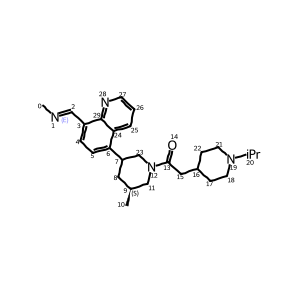 C/N=C/c1ccc(C2C[C@H](C)CN(C(=O)CC3CCN(C(C)C)CC3)C2)c2cccnc12